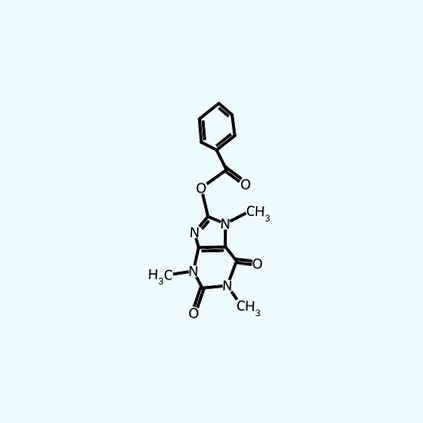 Cn1c(=O)c2c(nc(OC(=O)c3ccccc3)n2C)n(C)c1=O